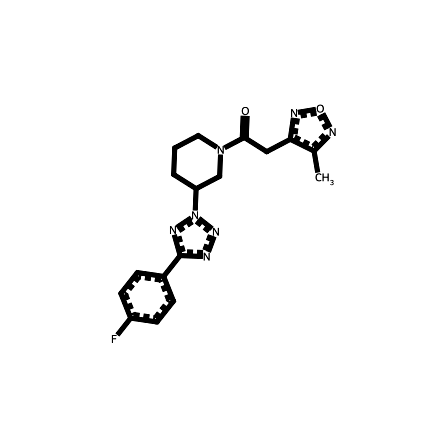 Cc1nonc1CC(=O)N1CCCC(n2nnc(-c3ccc(F)cc3)n2)C1